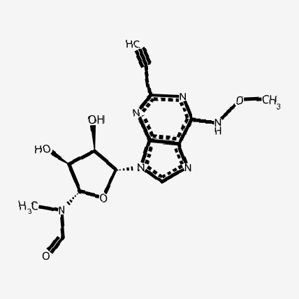 C#Cc1nc(NOC)c2ncn([C@@H]3O[C@H](N(C)C=O)[C@@H](O)[C@H]3O)c2n1